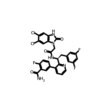 NC(=O)c1cc(-c2cccnc2[C@H](Cc2cc(F)cc(F)c2)NC(=O)Cn2c(=O)[nH]c3cc(Cl)c(Cl)cc32)ccc1F